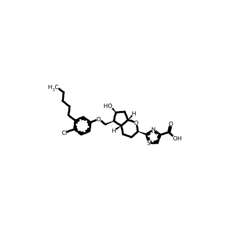 CCCCCc1cc(OC[C@@H]2[C@H]3CC[C@H](c4nc(C(=O)O)cs4)O[C@H]3C[C@@H]2O)ccc1Cl